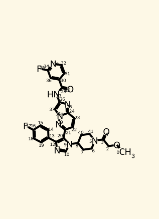 COCC(=O)N1CCC(n2cnc(-c3ccc(F)cc3)c2-c2ccc3nc(NC(=O)c4ccnc(F)c4)cn3n2)CC1